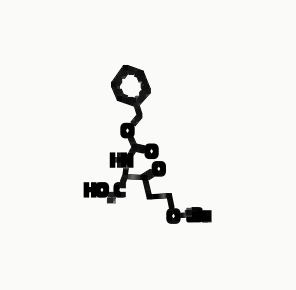 CC(C)(C)OCCC(=O)C(NC(=O)OCc1ccccc1)C(=O)O